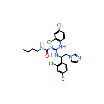 CCCCNC(=O)N=C(Nc1ccc(Cl)cc1Cl)NC(Cn1ccnc1)c1ccc(Cl)cc1Cl